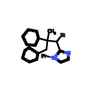 CCC(c1nccn1C(C)C)C(C)(Cc1ccccc1)c1ccccc1